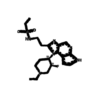 CCN1CC[C@@H](n2c(CCNS(=O)(=O)CC)nc3cnc4[nH]ccc4c32)[C@@H](F)C1